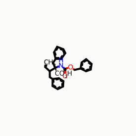 C=CC(Cc1ccccc1)[C@](Cc1ccccc1)(NC(=O)OCc1ccccc1)C(=O)O